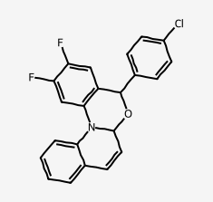 Fc1cc2c(cc1F)N1c3ccccc3C=CC1OC2c1ccc(Cl)cc1